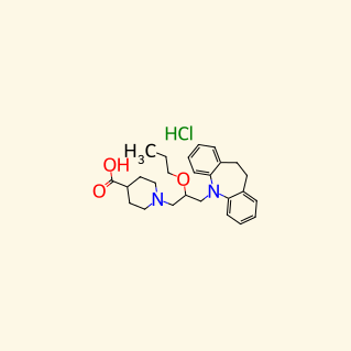 CCCOC(CN1CCC(C(=O)O)CC1)CN1c2ccccc2CCc2ccccc21.Cl